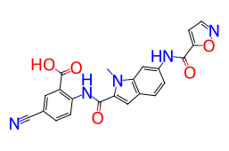 Cn1c(C(=O)Nc2ccc(C#N)cc2C(=O)O)cc2ccc(NC(=O)c3ccno3)cc21